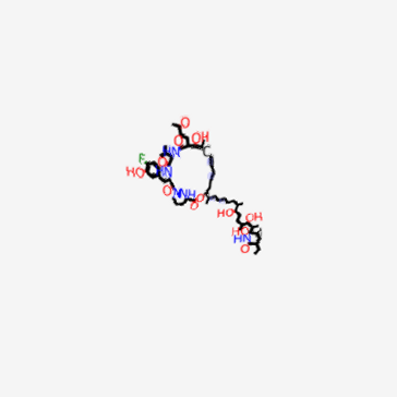 CCC1C[C@H](C)[C@@](O)(C(C)C(O)C(C)CCC(O)C(C)CC/C=C/C=C(\C)[C@@H]2C/C=C/C=C/CC(C)C(O)C(CCC(C)=O)C(=O)NC(C(C)C)C(=O)NC(Cc3ccc(F)c(O)c3)C(=O)N3CCCC(N3)C(=O)O2)NC1=O